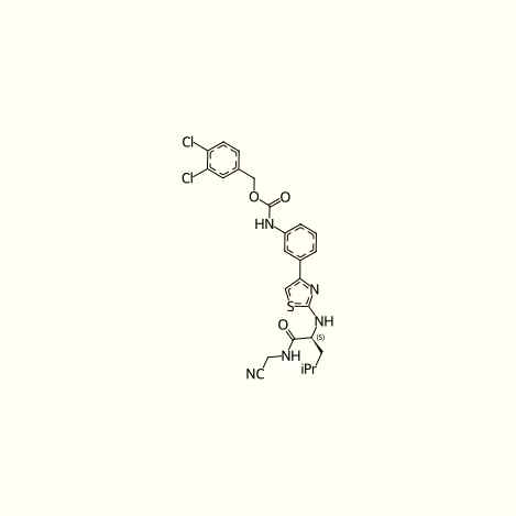 CC(C)C[C@H](Nc1nc(-c2cccc(NC(=O)OCc3ccc(Cl)c(Cl)c3)c2)cs1)C(=O)NCC#N